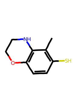 Cc1c(S)ccc2c1NCCO2